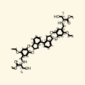 CCOc1cc(O[C@H]2CCc3c(-c4cccc5c4CC[C@@H]5Oc4cc(OCC)c(CN[C@H](C(=O)OC)[C@@H](C)O)cc4Cl)cccc32)c(Cl)cc1CN[C@H](C(=O)OC)[C@@H](C)O